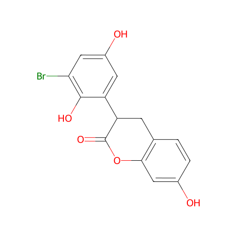 O=C1Oc2cc(O)ccc2CC1c1cc(O)cc(Br)c1O